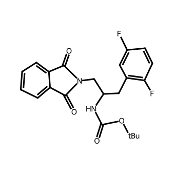 CC(C)(C)OC(=O)NC(Cc1cc(F)ccc1F)CN1C(=O)c2ccccc2C1=O